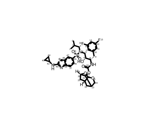 CC(C)CN(C[C@@H](O)[C@H](Cc1cc(F)cc(F)c1)NC(=O)OC1C2COC3O[C@H]1C[C@@H]3C2)S(=O)(=O)c1ccc2nc(NC3CC3)sc2c1